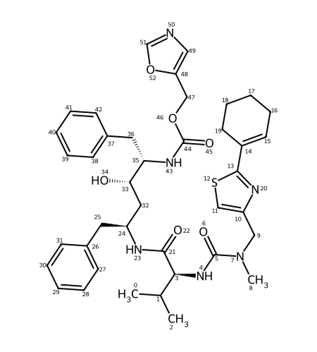 CC(C)[C@H](NC(=O)N(C)Cc1csc(C2=CCCCC2)n1)C(=O)N[C@@H](Cc1ccccc1)C[C@H](O)[C@H](Cc1ccccc1)NC(=O)OCc1cnco1